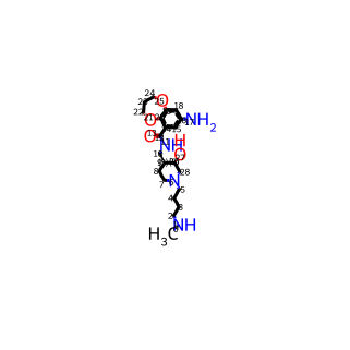 CNCCCCN1CC[C@@H](CNC(=O)c2cc(N)cc3c2OCCCO3)[C@H](O)C1